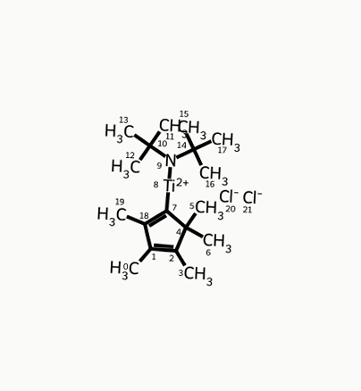 CC1=C(C)C(C)(C)[C]([Ti+2][N](C(C)(C)C)C(C)(C)C)=C1C.[Cl-].[Cl-]